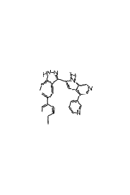 C=C/C=C\C(=C/C)C(=C)/C=c1/c(-c2cc3c(-c4cccnc4)cncc3[nH]2)n[nH]/c1=C/C